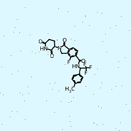 Cc1ccc(C(NC(=O)c2ccc3c(c2F)CN(C2CCC(=O)NC2=O)C3=O)C(F)(F)F)cc1